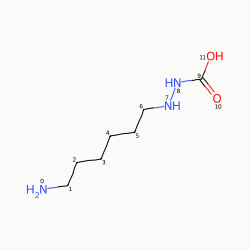 NCCCCCCNNC(=O)O